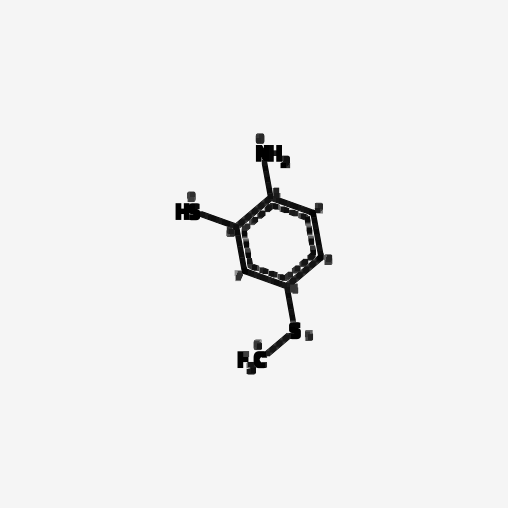 Nc1ccc(SC(F)(F)F)cc1S